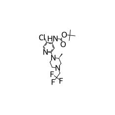 C[C@H]1CN(CC(F)(F)F)CCN1c1cc(NC(=O)OC(C)(C)C)c(Cl)cn1